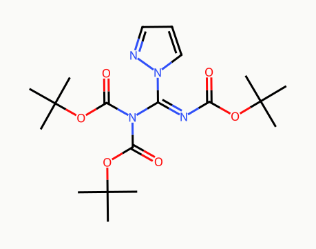 CC(C)(C)OC(=O)/N=C(/N(C(=O)OC(C)(C)C)C(=O)OC(C)(C)C)n1cccn1